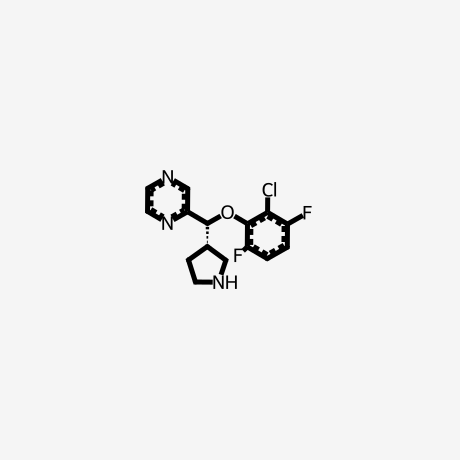 Fc1ccc(F)c(OC(c2cnccn2)[C@H]2CCNC2)c1Cl